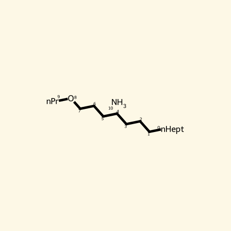 CCCCCCCCCCCCCCOCCC.N